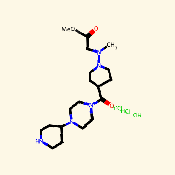 COC(=O)CN(C)N1CCC(C(=O)N2CCN(C3CCNCC3)CC2)CC1.Cl.Cl.Cl